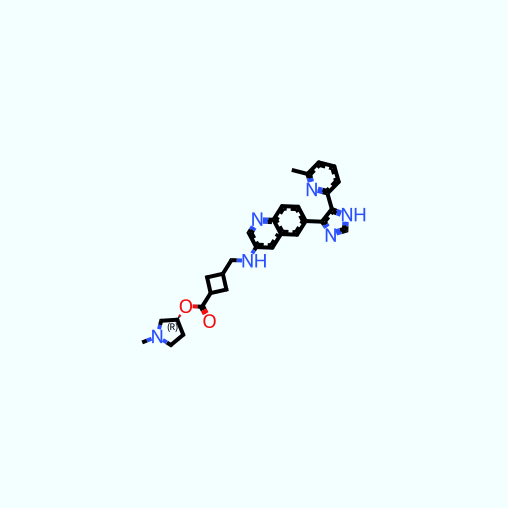 Cc1cccc(-c2[nH]cnc2-c2ccc3ncc(NCC4CC(C(=O)O[C@@H]5CCN(C)C5)C4)cc3c2)n1